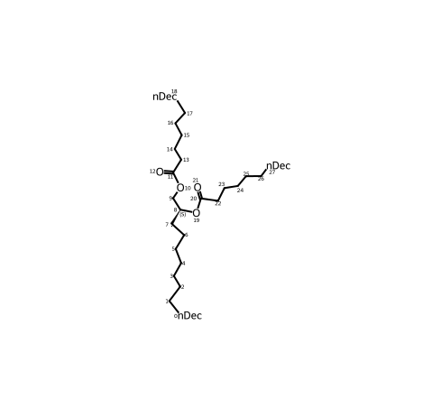 CCCCCCCCCCCCCCCC[CH][C@@H](COC(=O)CCCCCCCCCCCCCCC)OC(=O)CCCCCCCCCCCCCCC